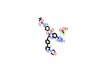 CC(C)(C)OC(=O)NC[C@H]1CC[C@H](C(=O)N(C(=O)[C@@H](N)Cc2ccc(-c3ccnc(N4CCOCC4)c3F)cc2)c2ccc(-c3nn[nH]n3)cc2)CC1.O=C(O)C(F)(F)F